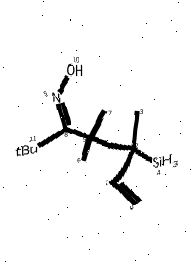 C=CC(C)([SiH3])C(C)(C)C(=NO)C(C)(C)C